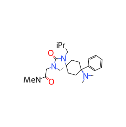 CNC(=O)CN1C[C@]2(CC[C@](c3ccccc3)(N(C)C)CC2)N(CC(C)C)C1=O